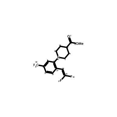 COC(=O)C1CCN(c2cc(C(F)(F)F)ccc2C=C(F)F)CC1